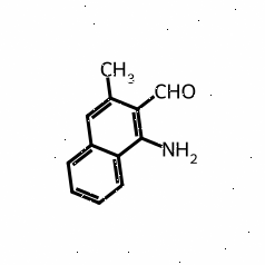 Cc1cc2ccccc2c(N)c1C=O